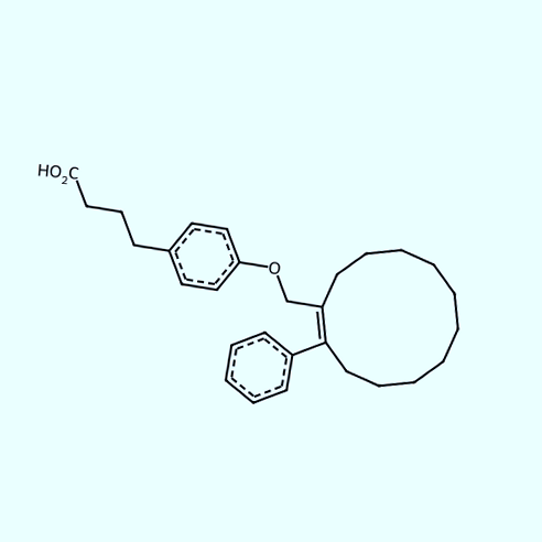 O=C(O)CCCc1ccc(OCC2=C(c3ccccc3)CCCCCCCCCC2)cc1